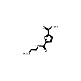 COCCNC(=O)c1ccc(C(=O)OC)s1